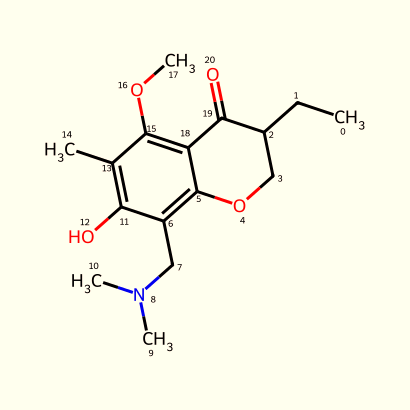 CCC1COc2c(CN(C)C)c(O)c(C)c(OC)c2C1=O